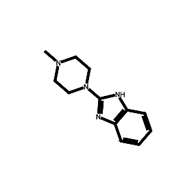 CN1CCN(c2nc3[c]cccc3[nH]2)CC1